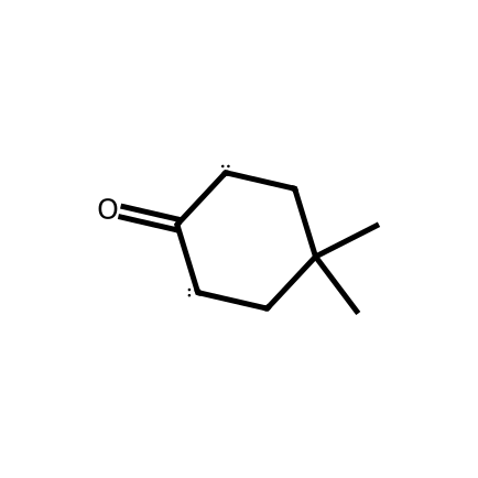 CC1(C)C[C]C(=O)[C]C1